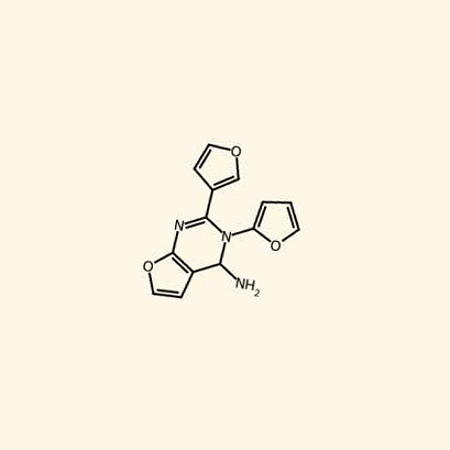 NC1c2ccoc2N=C(c2ccoc2)N1c1ccco1